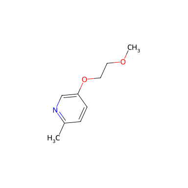 COCCOc1ccc(C)nc1